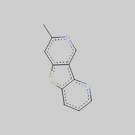 Cc1cc2sc3cccnc3c2cn1